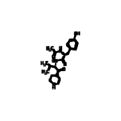 CC(=O)N[C@@H](Cc1ccc(O)cc1)C(=O)N[C@H](C(=O)N1CCNCC1)C(C)C